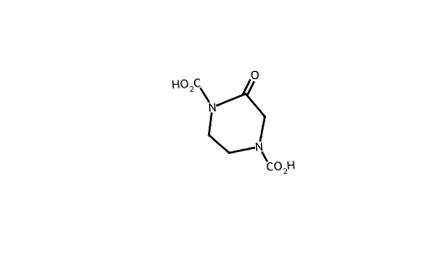 O=C(O)N1CCN(C(=O)O)C(=O)C1